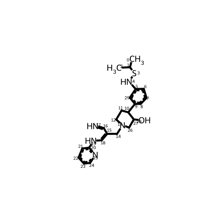 CC(C)SNc1cccc(C2CCN(C/C(C=N)=C/Nc3ccccn3)CC2O)c1